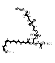 CCCCC/C=C\C/C=C\CCCCCCCC(=O)O[C@H](COC(=O)CCCCCCC)COP(=O)(O)OCCNC(=O)CCC(=O)NCCCCC